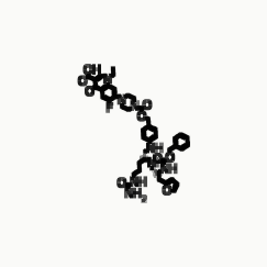 CCn1cc(C(=O)O)c(=O)c2cc(F)c(N3CCN(C(=O)OCc4ccc(NC[C@@H](CCCNC(N)=O)NC[C@@H](Cc5ccco5)NC(=O)OCc5ccccc5)cc4)CC3)cc21